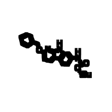 CC(C)(C)OC(=O)Nc1ccc2c(c1)[nH]c1nc(OCc3ccccc3)ccc12